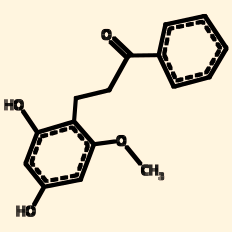 COc1cc(O)cc(O)c1CCC(=O)c1ccccc1